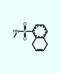 CNS(=O)(=O)c1cccc2c1CC=CC2